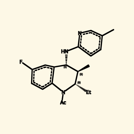 CC[C@H]1[C@H](C)[C@@H](Nc2ccc(C)cn2)c2cc(F)ccc2N1C(C)=O